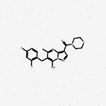 Cc1nc2c(C(=O)N3CCOCC3)cnn2c(O)c1Cc1ccc(F)cc1Cl